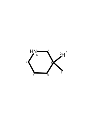 [2H]C1(C)CCCNC1